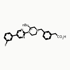 CCCC[C@H]1CN(Cc2cccc(CC(=O)O)c2)CCN1c1ncc(-c2cccc(F)c2)cn1